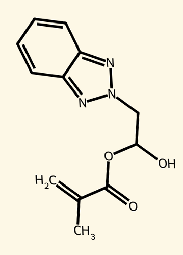 C=C(C)C(=O)OC(O)Cn1nc2ccccc2n1